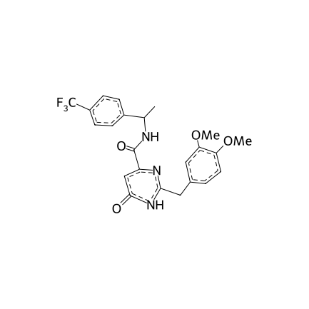 COc1ccc(Cc2nc(C(=O)NC(C)c3ccc(C(F)(F)F)cc3)cc(=O)[nH]2)cc1OC